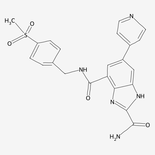 CS(=O)(=O)c1ccc(CNC(=O)c2cc(-c3ccncc3)cc3[nH]c(C(N)=O)nc23)cc1